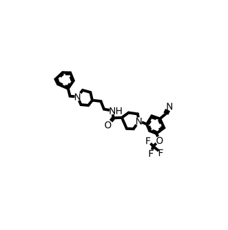 N#Cc1cc(OC(F)(F)F)cc(N2CCC(C(=O)NCCC3CCN(Cc4ccccc4)CC3)CC2)c1